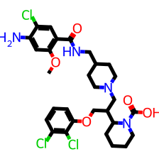 COc1cc(N)c(Cl)cc1C(=O)NCC1CCN(CC(COc2cccc(Cl)c2Cl)C2CCCCN2C(=O)O)CC1